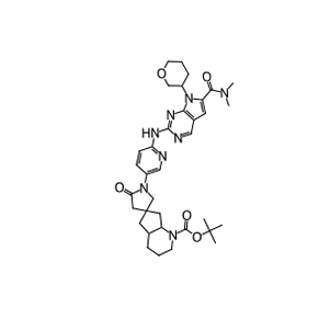 CN(C)C(=O)c1cc2cnc(Nc3ccc(N4CC5(CC4=O)CC4CCCN(C(=O)OC(C)(C)C)C4C5)cn3)nc2n1C1CCCOC1